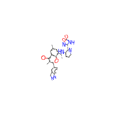 Cc1cc(C(C)Nc2cccnc2-c2noc(=O)[nH]2)c2oc(-c3ccc4nn(C)cc4c3)c(C)c(=O)c2c1